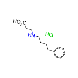 Cl.O=C(O)CCNCCCCc1ccccc1